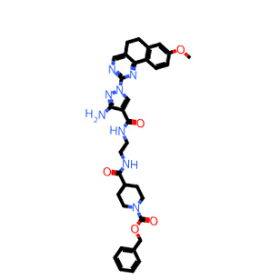 COc1ccc2c(c1)CCc1cnc(-n3cc(C(=O)NCCNC(=O)C4CCN(C(=O)OCc5ccccc5)CC4)c(N)n3)nc1-2